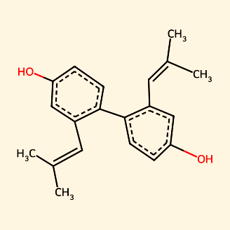 CC(C)=Cc1cc(O)ccc1-c1ccc(O)cc1C=C(C)C